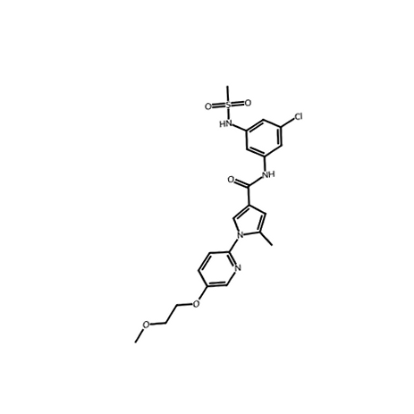 COCCOc1ccc(-n2cc(C(=O)Nc3cc(Cl)cc(NS(C)(=O)=O)c3)cc2C)nc1